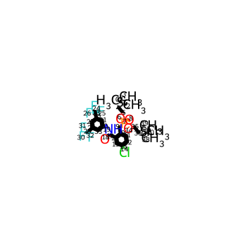 C[Si](C)(C)CCOP(=O)(Cc1ccc(Cl)cc1C(=O)Nc1cc(C(F)(F)F)cc(C(F)(F)F)c1)OCC[Si](C)(C)C